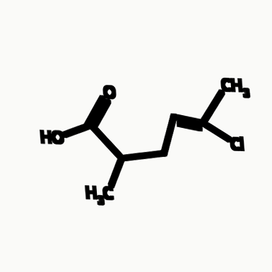 CC(Cl)=CCC(C)C(=O)O